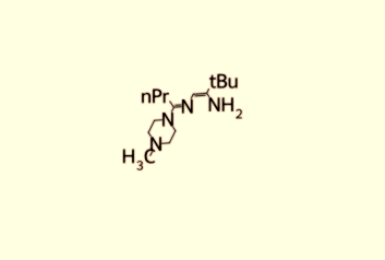 CCC/C(=N\C=C(/N)C(C)(C)C)N1CCN(C)CC1